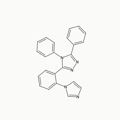 c1ccc(-c2nnc(-c3ccccc3-n3ccnc3)n2-c2ccccc2)cc1